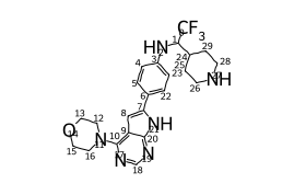 FC(F)(F)C(Nc1ccc(-c2cc3c(N4CCOCC4)ncnc3[nH]2)cc1)C1CCNCC1